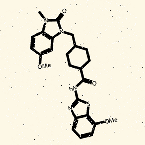 COc1ccc2c(c1)n(CC1CCC(C(=O)Nc3nc4cccc(OC)c4s3)CC1)c(=O)n2C